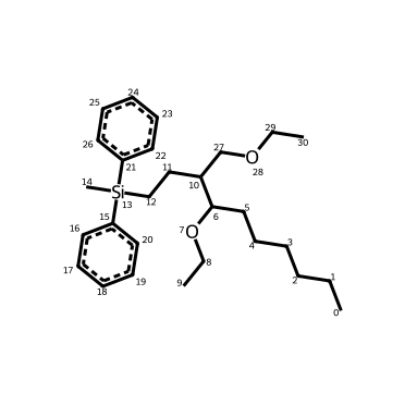 CCCCCCC(OCC)C(CC[Si](C)(c1ccccc1)c1ccccc1)COCC